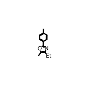 CCc1nc(-c2ccc(C)cc2)oc1C